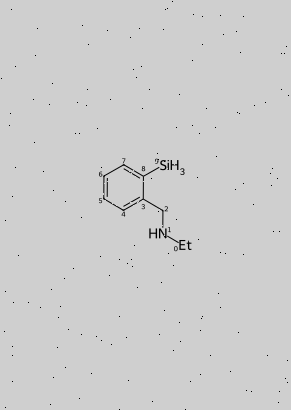 CCNCc1ccccc1[SiH3]